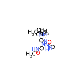 C=CC(=O)Nc1cccc(-n2c(NC(=O)c3ccccn3)nc3cc(CN[C@@H](C)C(C)(C)C)ccc32)c1